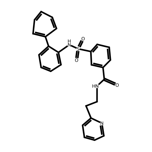 O=C(NCCc1ccccn1)c1cccc(S(=O)(=O)Nc2ccccc2-c2ccccc2)c1